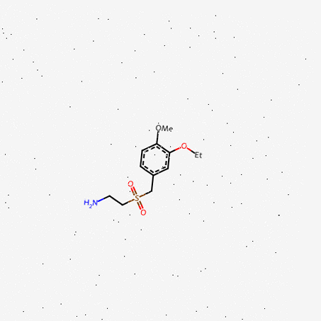 CCOc1cc(CS(=O)(=O)CCN)ccc1OC